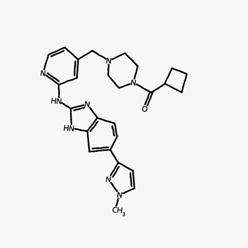 Cn1ccc(-c2ccc3nc(Nc4cc(CN5CCN(C(=O)C6CCC6)CC5)ccn4)[nH]c3c2)n1